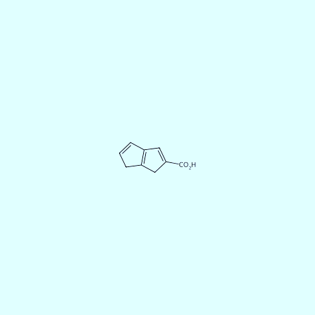 O=C(O)C1=CC2=C(CC=C2)C1